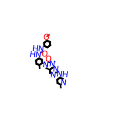 COc1cccc(NC(=O)Nc2ccc(C)c(N3Cc4cnc(Nc5ccc(C)nc5)nc4N(C)C3=O)c2)c1